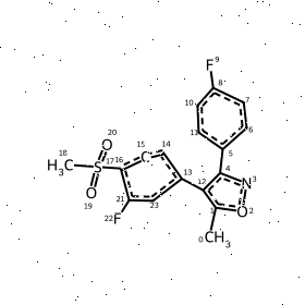 Cc1onc(-c2ccc(F)cc2)c1-c1ccc(S(C)(=O)=O)c(F)c1